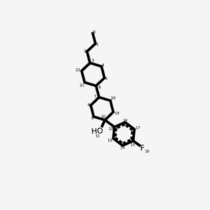 CCCC1CCC(C2CCC(O)(c3ccc(F)cc3)CC2)CC1